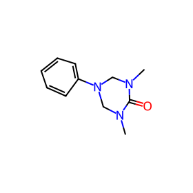 CN1CN(c2ccccc2)CN(C)C1=O